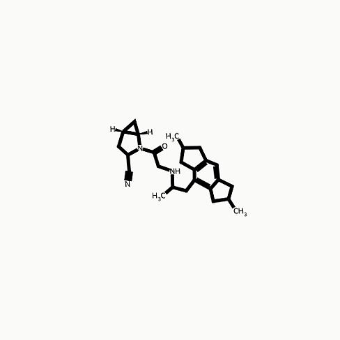 CC1Cc2cc3c(c(CC(C)NCC(=O)N4C(C#N)C[C@@H]5C[C@@H]54)c2C1)CC(C)C3